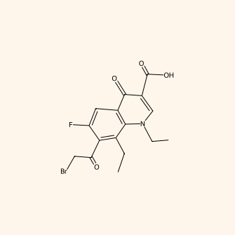 CCc1c(C(=O)CBr)c(F)cc2c(=O)c(C(=O)O)cn(CC)c12